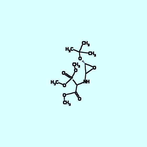 COC(=O)C(NC1O[C@H]1OC(C)(C)C)P(=O)(OC)OC